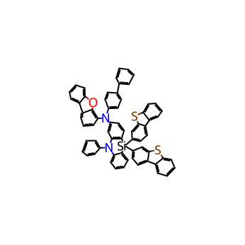 c1ccc(-c2ccc(N(c3ccc4c(c3)N(c3ccccc3)c3ccccc3[Si]4(c3ccc4c(c3)sc3ccccc34)c3ccc4c(c3)sc3ccccc34)c3cccc4c3oc3ccccc34)cc2)cc1